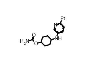 CCc1ccc(NC2CCC(OC(N)=O)CC2)cn1